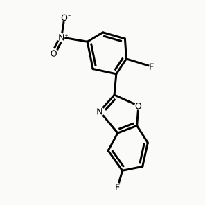 O=[N+]([O-])c1ccc(F)c(-c2nc3cc(F)ccc3o2)c1